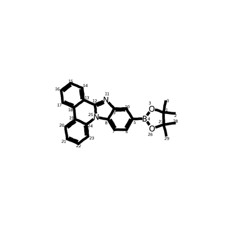 CC1(C)OB(c2ccc3c(c2)nc2c4ccccc4c4ccccc4n32)OC1(C)C